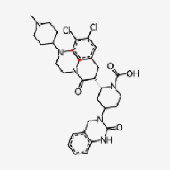 CN1CCC(N2CCN(C(=O)C(Cc3ccc(Cl)c(Cl)c3)[C@H]3CC(N4Cc5ccccc5NC4=O)CCN3C(=O)O)CC2)CC1